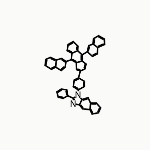 c1ccc(-c2nc3cc4ccccc4cc3n2-c2ccc(-c3ccc4c(-c5ccc6ccccc6c5)c5ccccc5c(-c5ccc6ccccc6c5)c4c3)cc2)cc1